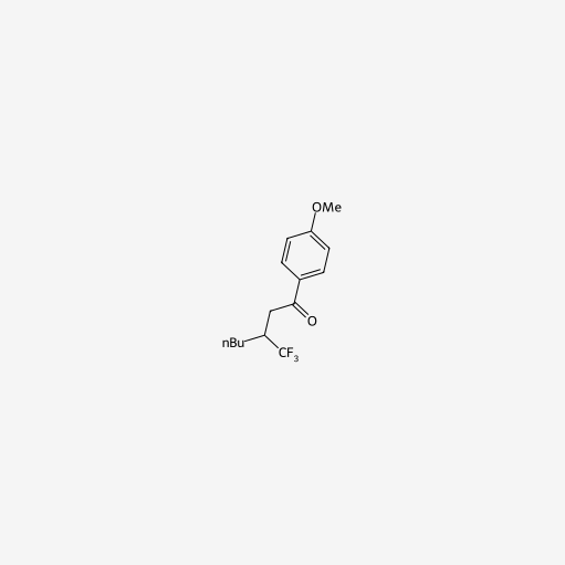 CCCCC(CC(=O)c1ccc(OC)cc1)C(F)(F)F